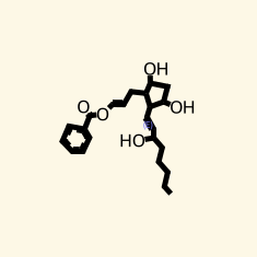 CCCCCC(O)/C=C/C1C(O)CC(O)C1CC=COC(=O)c1ccccc1